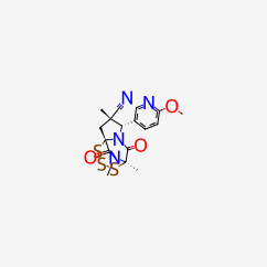 COc1ccc([C@@H]2N3C(=O)[C@@]4(C)SSS[C@@]3(C[C@]2(C)C#N)C(=O)N4C)cn1